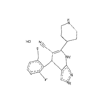 Cl.N#CC1=C(C2CCNCC2)Nc2n[nH]cc2C1c1c(F)cccc1F